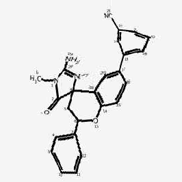 CN1C(=O)C2(CC(c3ccccc3)Oc3ccc(-c4cccc(C#N)c4)cc32)N=C1N